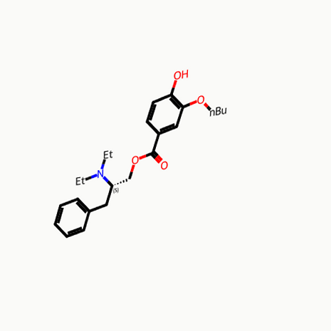 CCCCOc1cc(C(=O)OC[C@H](Cc2ccccc2)N(CC)CC)ccc1O